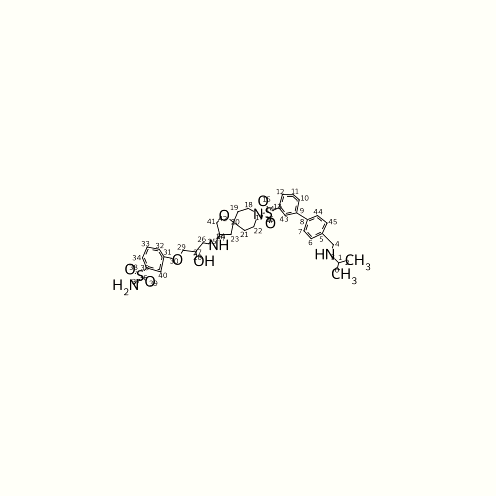 CC(C)NCc1ccc(-c2cccc(S(=O)(=O)N3CCC4(CC3)C[C@@H](NCC(O)COc3cccc(S(N)(=O)=O)c3)CO4)c2)cc1